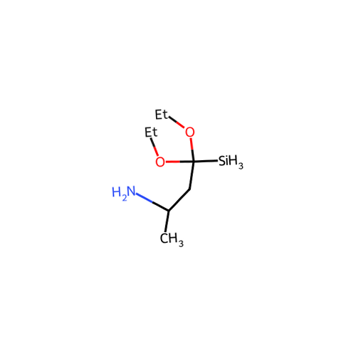 CCOC([SiH3])(CC(C)N)OCC